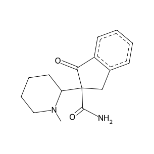 CN1CCCCC1C1(C(N)=O)Cc2ccccc2C1=O